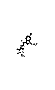 CC(c1csc(C(=O)c2cn(C(=O)O)c3cc(F)ccc23)n1)N(C)[S@@+]([O-])C(C)(C)C